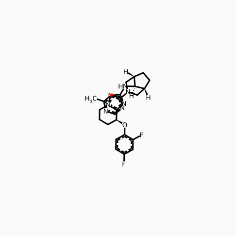 Cc1cc(N2C[C@H]3CC[C@@H](C2)[C@@H]3Nc2nc3n(n2)CCC[C@@H]3Oc2ccc(F)cc2F)ncn1